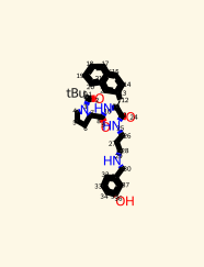 CC(C)(C)C(=O)N1CCCC1C(=O)N[C@H](Cc1ccc2ccccc2c1)C(=O)NCCCNCc1cccc(O)c1